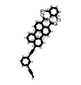 CC#Cc1cccc(C#Cc2ccc3c4ccc5c6c(ccc(c7cccc2c73)c64)C(=O)N(c2c(CC)cccc2C(C)C)C5=O)c1